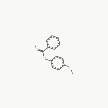 COc1ccc(N/C(=N/Cl)c2ccccc2)cc1